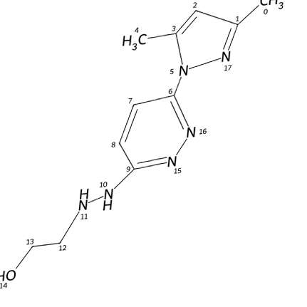 Cc1cc(C)n(-c2ccc(NNCCO)nn2)n1